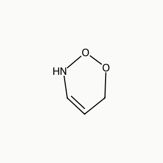 C1=CNOOC1